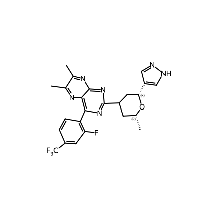 Cc1nc2nc(C3C[C@@H](C)O[C@@H](c4cn[nH]c4)C3)nc(-c3ccc(C(F)(F)F)cc3F)c2nc1C